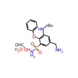 CCCCNc1cc(CN)cc(S(N)(=O)=O)c1Oc1ccccc1.O.O=CO